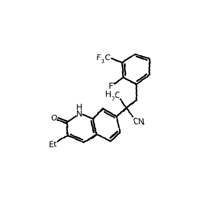 CCc1cc2ccc(C(C)(C#N)Cc3cccc(C(F)(F)F)c3F)cc2[nH]c1=O